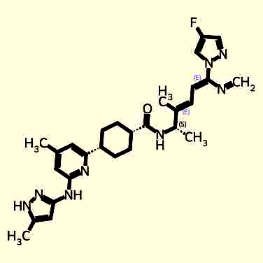 C=N/C(=C\C=C(/C)[C@H](C)NC(=O)[C@H]1CC[C@@H](c2cc(C)cc(Nc3cc(C)[nH]n3)n2)CC1)n1cc(F)cn1